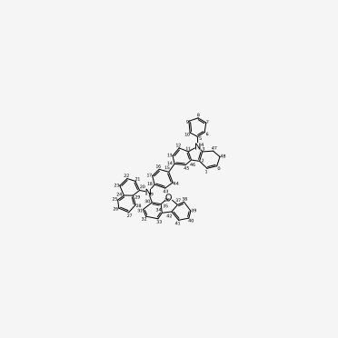 C1=Cc2c(n(-c3ccccc3)c3ccc(-c4ccc(N(c5cccc6ccccc56)c5cccc6c5oc5ccccc56)cc4)cc23)CC1